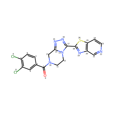 O=C(c1ccc(Cl)c(Cl)c1)N1CCn2c(nnc2-c2nc3cnccc3s2)C1